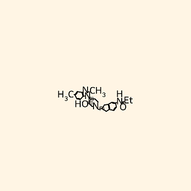 CCC(=O)Nc1ccc2c(c1)C[C@H](CN1CC[C@@H](n3c(C)nc4cc(C)ccc43)[C@H](O)C1)C2